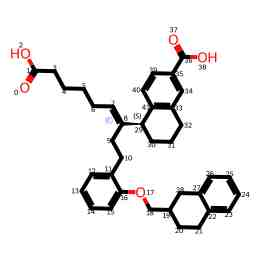 O=C(O)CCCC/C=C(\CCc1ccccc1OCC1CCc2ccccc2C1)[C@@H]1CCCc2cc(C(=O)O)ccc21